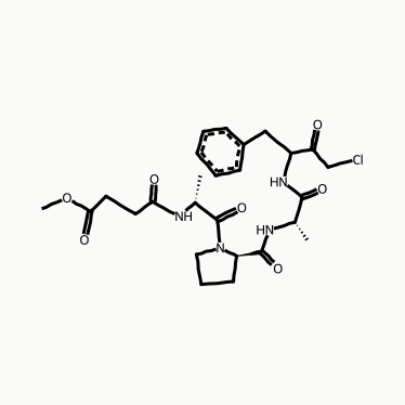 COC(=O)CCC(=O)N[C@H](C)C(=O)N1CCC[C@@H]1C(=O)N[C@@H](C)C(=O)NC(Cc1ccccc1)C(=O)CCl